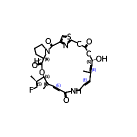 CC1=C\[C@@H](O)CC(=O)Cc2nc(cs2)C(=O)N2CCC[C@@H]2C(=O)O[C@H]([C@H](C)CF)[C@H](C)/C=C/C(=O)NC\C=C\1